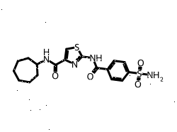 NS(=O)(=O)c1ccc(C(=O)Nc2nc(C(=O)NC3CCCCCC3)cs2)cc1